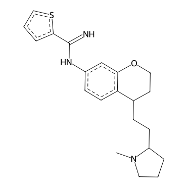 CN1CCCC1CCC1CCOc2cc(NC(=N)c3cccs3)ccc21